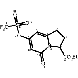 CCOC(=O)C1CCc2cc(OS(=O)(=O)C(F)(F)F)cc(=O)n21